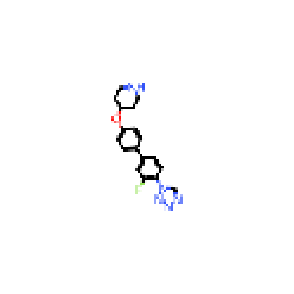 Fc1cc(-c2ccc(OC3CCNCC3)cc2)ccc1-n1cnnn1